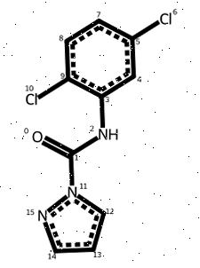 O=C(Nc1cc(Cl)ccc1Cl)n1cc[c]n1